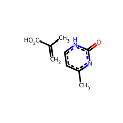 C=C(C)C(=O)O.Cc1cc[nH]c(=O)n1